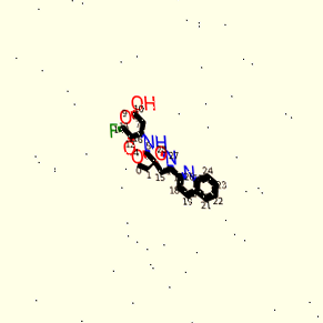 CC[C@]1(C(=O)NC(CC(=O)O)C(=O)CF)CC(c2ccc3ccccc3n2)=NO1